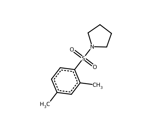 Cc1ccc(S(=O)(=O)N2CCCC2)c(C)c1